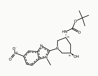 Cn1c(N2C[C@H](O)C[C@@H](NC(=O)OC(C)(C)C)C2)nc2cc([N+](=O)[O-])ccc21